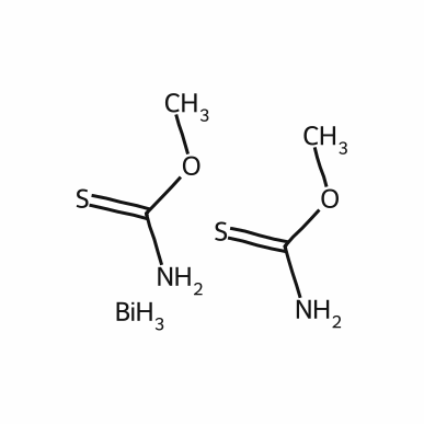 COC(N)=S.COC(N)=S.[BiH3]